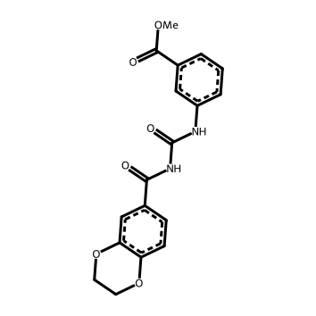 COC(=O)c1cccc(NC(=O)NC(=O)c2ccc3c(c2)OCCO3)c1